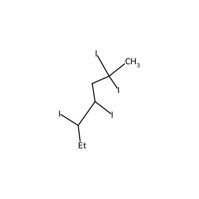 CCC(I)C(I)CC(C)(I)I